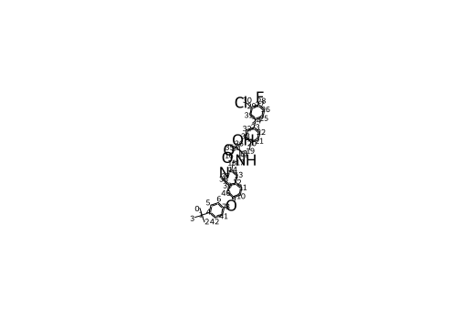 CC(C)(C)c1ccc(Oc2ccc3cc(C(=O)N[C@@H](Cc4ccc(-c5ccc(F)c(Cl)c5)cc4)C(=O)O)ncc3c2)cc1